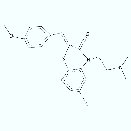 COc1ccc(/C=C2\Sc3ccc(Cl)cc3N(CCN(C)C)C2=O)cc1